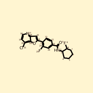 O=C(NC1CCCCC1F)c1ccc(-c2cc3nccc(Cl)c3o2)c(F)c1